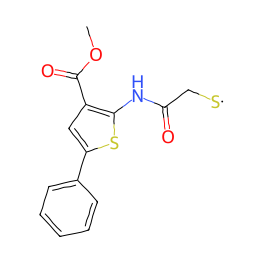 COC(=O)c1cc(-c2ccccc2)sc1NC(=O)C[S]